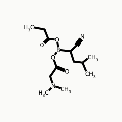 CCC(=O)OB(OC(=O)CN(C)C)C(C#N)CC(C)C